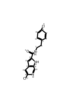 O=C(NCCc1ccc(Cl)cc1)c1cc2cc(Cl)ncc2[nH]1